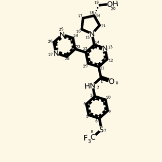 O=C(Nc1ccc(SC(F)(F)F)cc1)c1cnc(N2CC[C@H](CO)C2)c(-c2cncnc2)c1